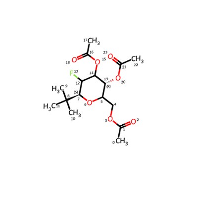 CC(=O)OCC1O[C@@H](C(C)(C)C)C(F)C(OC(C)=O)[C@@H]1OC(C)=O